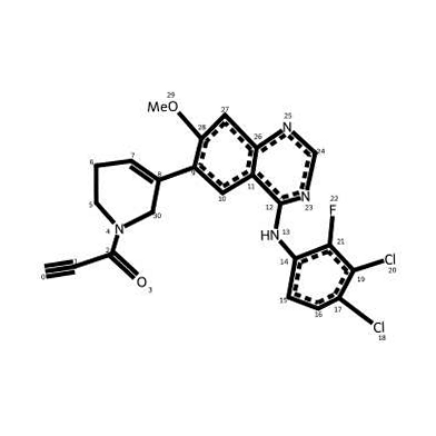 C#CC(=O)N1CCC=C(c2cc3c(Nc4ccc(Cl)c(Cl)c4F)ncnc3cc2OC)C1